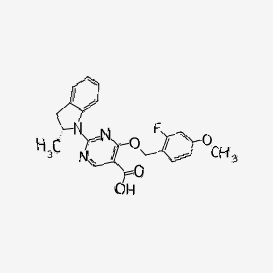 COc1ccc(COc2nc(N3c4ccccc4C[C@H]3C)ncc2C(=O)O)c(F)c1